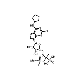 CNS(=O)(=O)CC(C)(OC[C@H]1O[C@@H](n2ccc3c(NC4CCCC4)nc(Cl)nc32)[C@H](O)[C@@H]1O)P(=O)(O)O